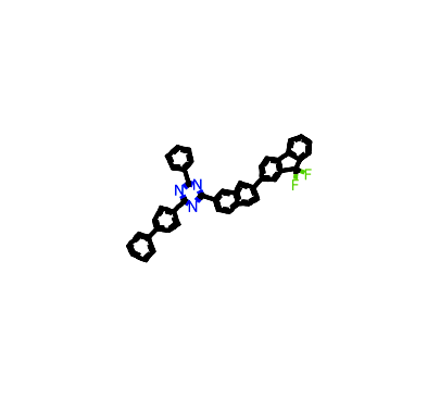 FC1(F)c2ccccc2-c2ccc(-c3ccc4ccc(-c5nc(-c6ccccc6)nc(-c6ccc(-c7ccccc7)cc6)n5)cc4c3)cc21